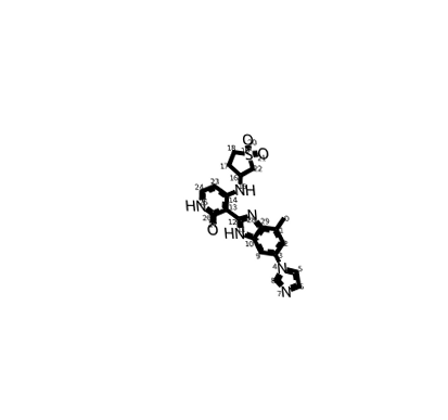 Cc1cc(-n2ccnc2)cc2[nH]c(-c3c(NC4CCS(=O)(=O)C4)cc[nH]c3=O)nc12